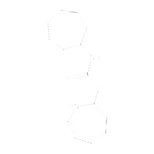 O=C(NC1CCCCCC1)OC1=CC=CC=CN1